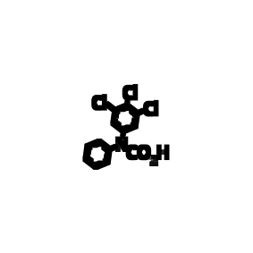 O=C(O)N(c1ccccc1)c1cc(Cl)c(Cl)c(Cl)c1